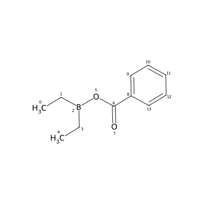 CCB(CC)OC(=O)c1ccccc1